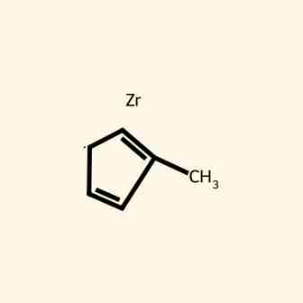 CC1=C[CH]C=C1.[Zr]